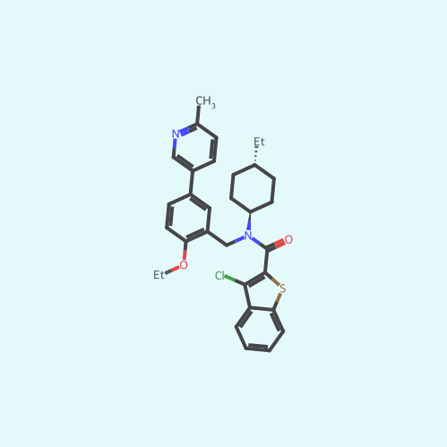 CCOc1ccc(-c2ccc(C)nc2)cc1CN(C(=O)c1sc2ccccc2c1Cl)[C@H]1CC[C@H](CC)CC1